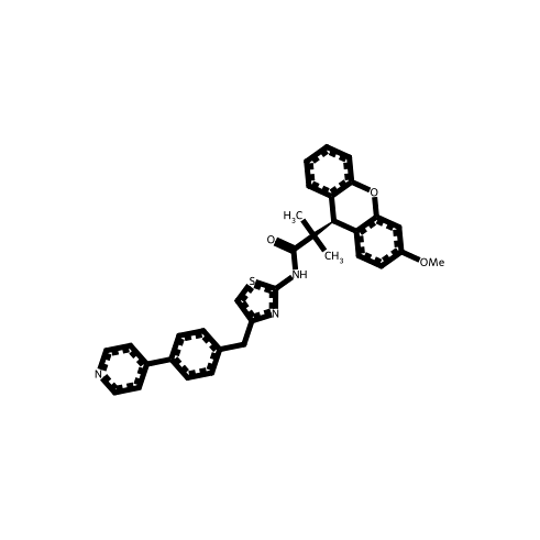 COc1ccc2c(c1)Oc1ccccc1[C@@H]2C(C)(C)C(=O)Nc1nc(Cc2ccc(-c3ccncc3)cc2)cs1